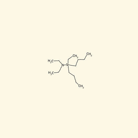 CCCC[Si](CC)(CCCC)N(CC)CC